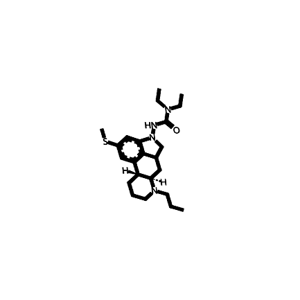 CCCN1CCC[C@@H]2c3cc(SC)cc4c3C(C[C@H]21)CN4NC(=O)N(CC)CC